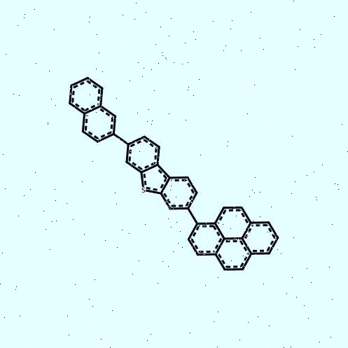 c1ccc2cc(-c3ccc4c(c3)sc3cc(-c5ccc6ccc7cccc8ccc5c6c78)ccc34)ccc2c1